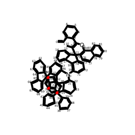 C=Cc1ccccc1C1=C(C)C2(c3ccccc3-c3c(N(c4cccc5c4-c4ccccc4C5(c4ccccc4)c4ccccc4)c4cccc5c4-c4ccccc4C54c5ccccc5-c5ccccc54)cccc32)c2ccc3ccccc3c2O1